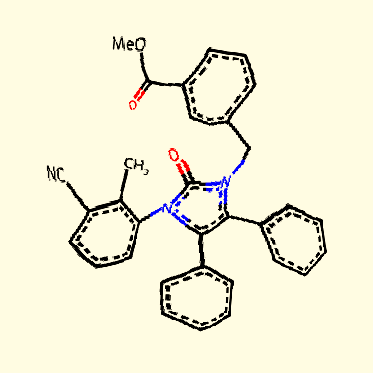 COC(=O)c1cccc(Cn2c(-c3ccccc3)c(-c3ccccc3)n(-c3cccc(C#N)c3C)c2=O)c1